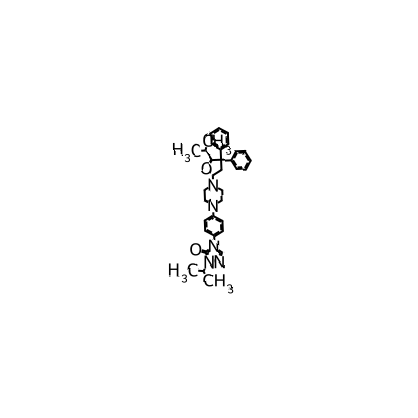 CC(C)C(=O)C(CCN1CCN(c2ccc(-n3cnn(C(C)C)c3=O)cc2)CC1)(c1ccccc1)c1ccccc1